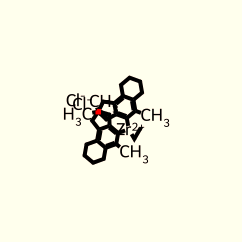 CC1=Cc2c(c3c(c(C)[c]2[Zr+2]2([c]4c(C)c5c(c6c4C=C(C)C6)CCCC5)[CH2][CH2]2)CCCC3)C1.[Cl-].[Cl-]